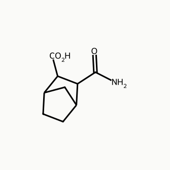 NC(=O)C1C2CCC(C2)C1C(=O)O